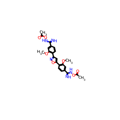 COc1cc(C(=N)NOC(C)=O)ccc1-c1cc(-c2ccc(C(=N)NOC(C)=O)cc2OC)on1